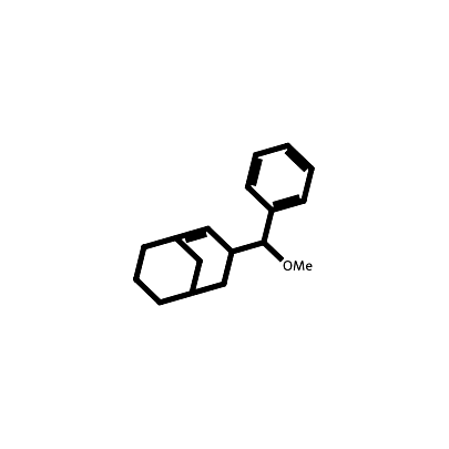 COC(c1ccccc1)C1C=C2CCCC(C2)C1